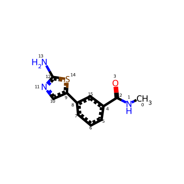 CNC(=O)c1cccc(-c2cnc(N)s2)c1